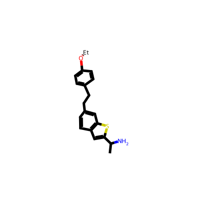 CCOc1ccc(CCc2ccc3cc(C(C)N)sc3c2)cc1